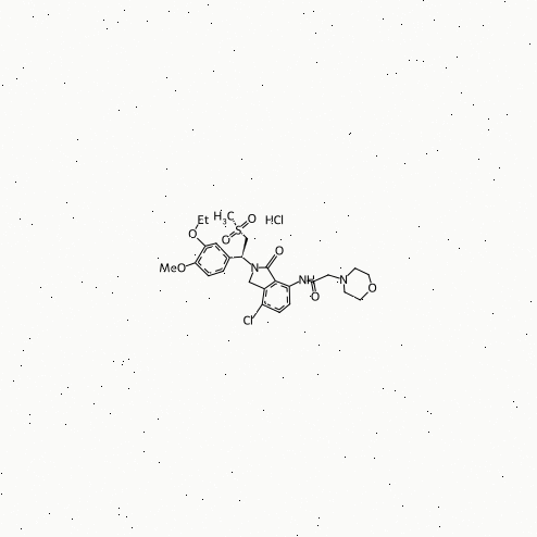 CCOc1cc([C@@H](CS(C)(=O)=O)N2Cc3c(Cl)ccc(NC(=O)CN4CCOCC4)c3C2=O)ccc1OC.Cl